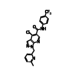 Cc1cccc(Cn2ncc3c(Cl)c(C(=O)Nc4ccc(C(F)(F)F)cc4)cnc32)n1